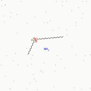 CCCCCCCCCCCCCCCCCCOS(=O)(=O)C(F)CCCCCCCCCC.N